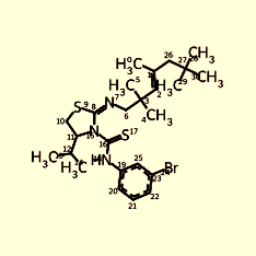 C/C(=C\C(C)(C)C/N=C1/SCC(C(C)C)N1C(=S)Nc1cccc(Br)c1)CC(C)(C)C